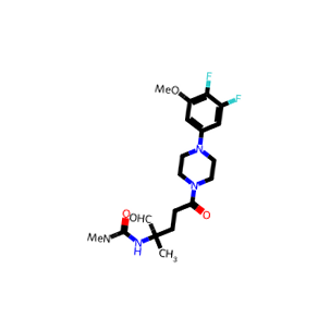 CNC(=O)NC(C)(C=O)CCC(=O)N1CCN(c2cc(F)c(F)c(OC)c2)CC1